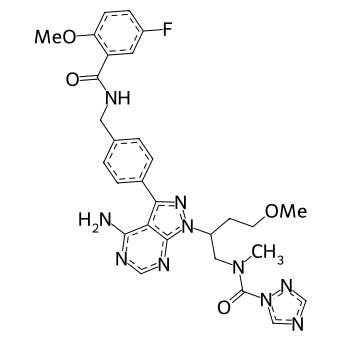 COCCC(CN(C)C(=O)n1cncn1)n1nc(-c2ccc(CNC(=O)c3cc(F)ccc3OC)cc2)c2c(N)ncnc21